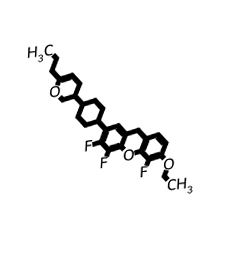 CCCC1=CCC(C2CCC(c3cc4c(c(F)c3F)Oc3c(ccc(OCC)c3F)C4)CC2)CO1